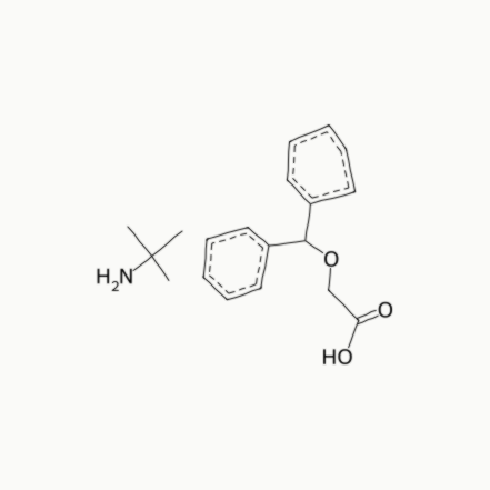 CC(C)(C)N.O=C(O)COC(c1ccccc1)c1ccccc1